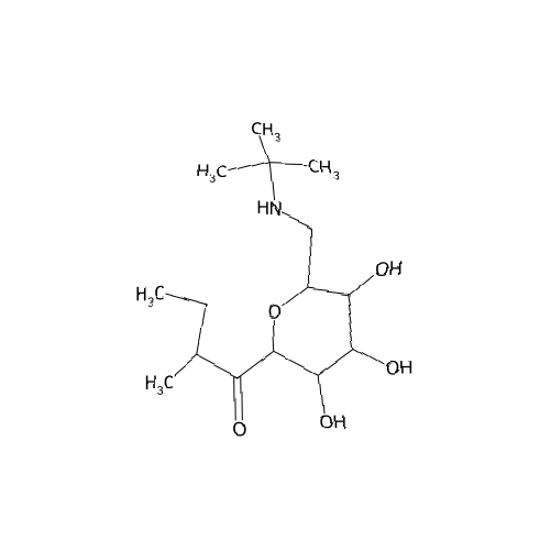 CCC(C)C(=O)C1OC(CNC(C)(C)C)C(O)C(O)C1O